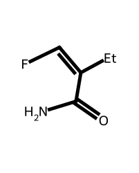 CCC(=CF)C(N)=O